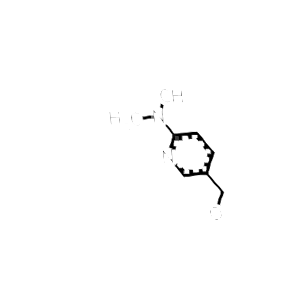 CN(C)c1ccc(C[O])cn1